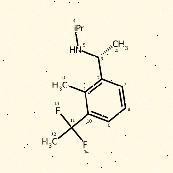 Cc1c([C@@H](C)NC(C)C)cccc1C(C)(F)F